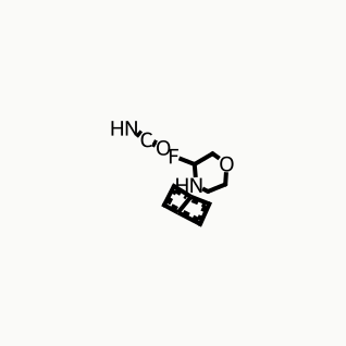 FC1COCCN1.N=C=O.c1cc2ccc1-2